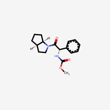 COC(=O)N[C@H](C(=O)N1CC[C@H]2CCC[C@H]21)c1ccccc1